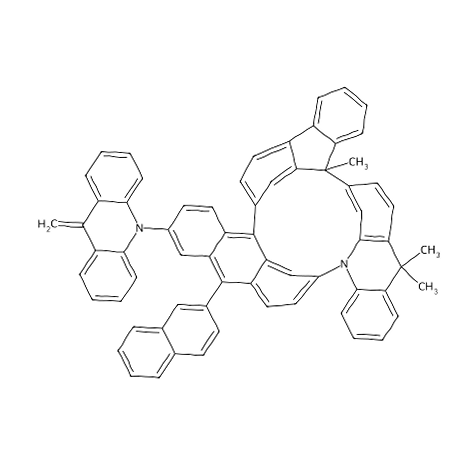 C=C1c2ccccc2N(c2ccc3c4c5cc(ccc5c(-c5ccc6ccccc6c5)c3c2)N2c3ccccc3C(C)(C)c3ccc(cc32)C2(C)c3ccccc3-c3ccc-4cc32)c2ccccc21